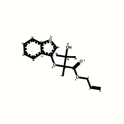 C=CCOC(=O)C(C)(Oc1coc2ccccc12)C(C)(C)O